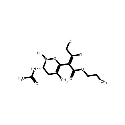 CCCOC(=O)/C(C1=C(C)C[C@H](NC(C)=O)B(O)O1)=C(\Cl)CCl